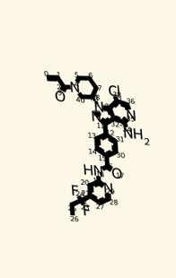 C=CC(=O)N1CCC[C@@H](n2nc(-c3ccc(C(=O)Nc4cc(C(F)(F)CC)ccn4)cc3)c3c(N)ncc(Cl)c32)C1